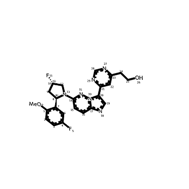 COc1ccc(F)cc1[C@H]1C[C@H](F)CN1c1ccc2ncc(-c3cc(CCO)ncn3)n2n1